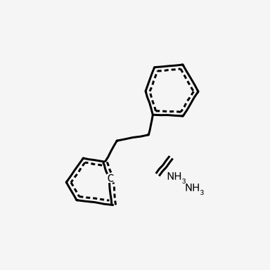 C=C.N.N.c1ccc(CCc2ccccc2)cc1